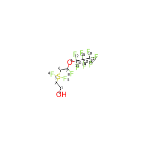 OCCS(F)(F)CC(F)OC(F)(F)C(F)(F)C(F)(F)F